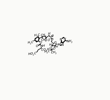 Cc1cc(C)c(C(C)(C)CC(=O)NS(=O)(=O)OC[C@H]2O[C@@H](n3cnc4c(N)ncnc43)[C@@H]3OC(C)(C)O[C@@H]32)c(OC(=O)N[C@@H](CCC(=O)O)C(=O)O)c1